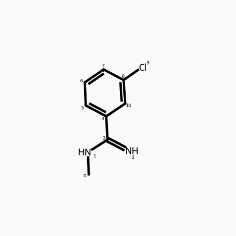 CNC(=N)c1cc[c]c(Cl)c1